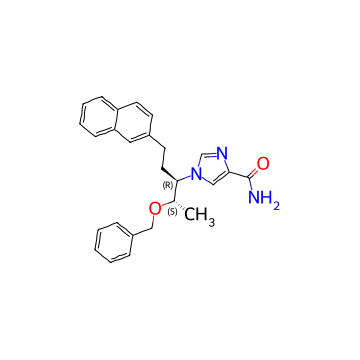 C[C@H](OCc1ccccc1)[C@@H](CCc1ccc2ccccc2c1)n1cnc(C(N)=O)c1